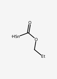 CCCO[C](=O)[SnH]